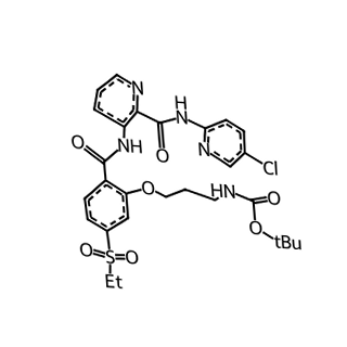 CCS(=O)(=O)c1ccc(C(=O)Nc2cccnc2C(=O)Nc2ccc(Cl)cn2)c(OCCCNC(=O)OC(C)(C)C)c1